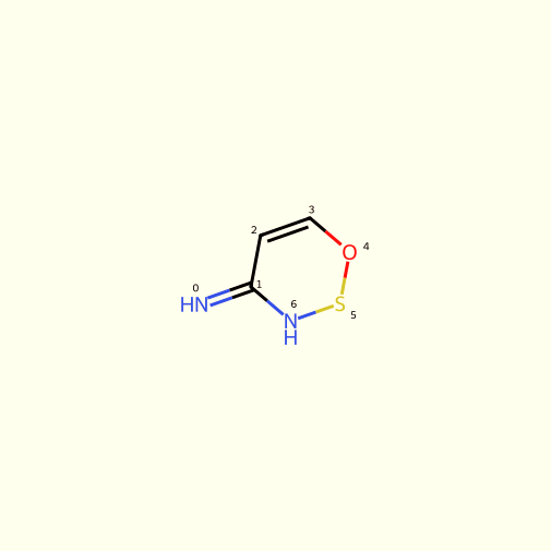 N=C1C=COSN1